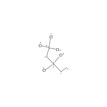 CCS(Cl)(Cl)CS(Cl)(Cl)Cl